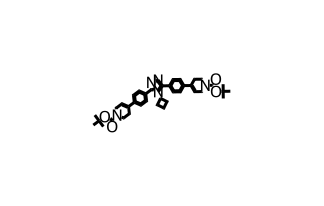 CC(C)(C)OC(=O)N1CC=C(c2ccc(-c3nnc(-c4ccc(C5=CCN(C(=O)OC(C)(C)C)CC5)cc4)n3C3CCC3)cc2)CC1